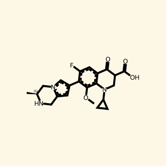 COc1c(-c2cc3n(c2)C[C@H](C)NC3)c(F)cc2c1N(C1CC1)CC(C(=O)O)C2=O